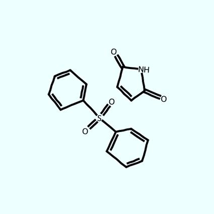 O=C1C=CC(=O)N1.O=S(=O)(c1ccccc1)c1ccccc1